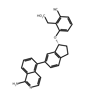 N#Cc1cccc(O[C@@H]2CCc3ccc(-c4cccc5c(N)nccc45)cc32)c1CC(=O)O